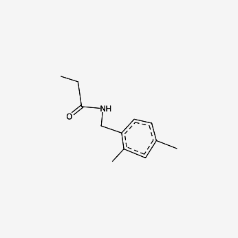 CCC(=O)NCc1ccc(C)cc1C